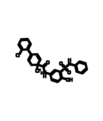 O=C(Nc1ccc(O)c(S(=O)(=O)Nc2ccccc2)c1)C1(C(F)(F)F)C=CC(c2ccccc2Cl)=CC1